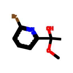 COC(C)(O)c1cccc(Br)n1